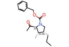 CCC[C@H]1CN(C(=O)OCc2ccccc2)[C@H](C(C)=O)[C@H]1C